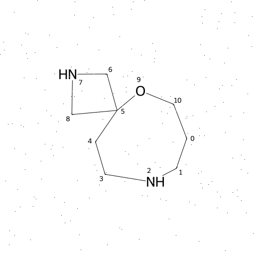 C1CNCCC2(CNC2)OC1